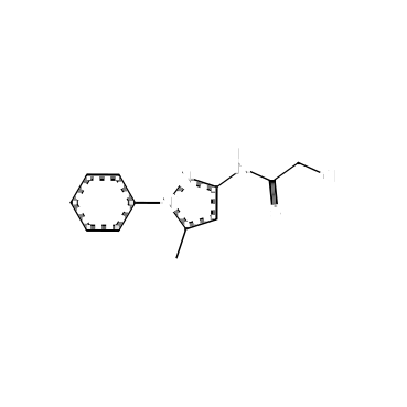 Cc1cc(NC(=O)CCl)nn1-c1ccccc1